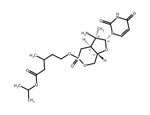 CC(CCOP1(=O)C[C@@H]2[C@@H](CO1)O[C@@H](n1ccc(=O)[nH]c1=O)[C@]2(C)N)CC(=O)OC(C)C